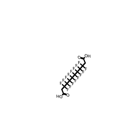 O=C(O)CC(F)(F)C(F)(F)C(F)(F)C(F)(F)C(F)(F)C(F)(F)C(F)(F)C(F)(F)CC(=O)O